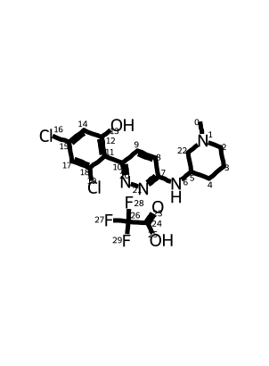 CN1CCCC(Nc2ccc(-c3c(O)cc(Cl)cc3Cl)nn2)C1.O=C(O)C(F)(F)F